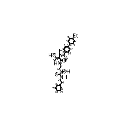 CCc1ccc(-c2ccc(C(=O)N[C@H](C(=O)NCCN(O)C(=O)NCCc3ccccn3)[C@@H](C)O)cc2)cc1